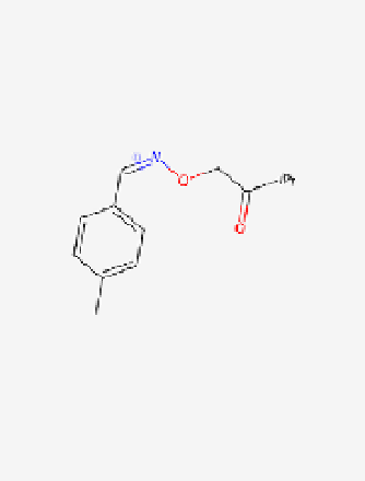 Cc1ccc(/C=N\OCC(=O)C(C)C)cc1